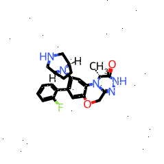 C[C@@H]1C(=O)NN=C2COc3cc(-c4ccccc4F)c(N4[C@@H]5CC[C@H]4CNC5)cc3N21